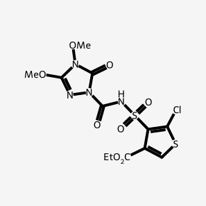 CCOC(=O)c1csc(Cl)c1S(=O)(=O)NC(=O)n1nc(OC)n(OC)c1=O